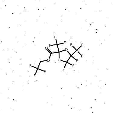 O=C(OCC(F)(F)F)C1(C(F)(F)F)OC(F)(F)C(F)(C(F)(F)F)O1